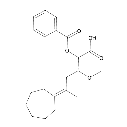 COC(CC(C)=C1CCCCCC1)C(OC(=O)c1ccccc1)C(=O)O